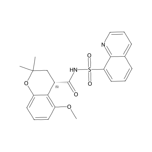 COc1cccc2c1[C@@H](C(=O)NS(=O)(=O)c1cccc3cccnc13)CC(C)(C)O2